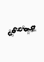 CC1(C)CCc2c(-c3cc4cc(C(=O)N5CCC(CN6CCCc7cc(N8C(=O)CCCC8=O)ccc76)CC5)ccc4[nH]3)n[nH]c2C1